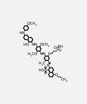 CCCOc1cccc2c(S(=O)(=O)O)c(N=Nc3cc(OCCCS(=O)(=O)O)c(N=Nc4cc(OC)c(N=Nc5ccc6cc(Nc7ccc(OC)cc7)ccc6c5O)cc4OC)cc3C)ccc12